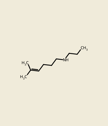 CCCNCCCC=C(C)C